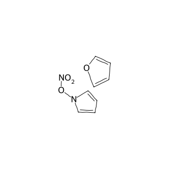 O=[N+]([O-])On1cccc1.c1ccoc1